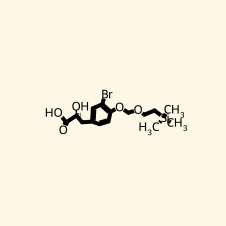 C[Si](C)(C)CCOCOc1ccc(C[C@@H](O)C(=O)O)cc1Br